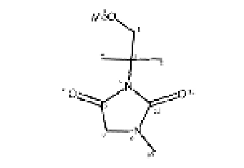 COCC(C)(C)N1C(=O)CN(C)C1=O